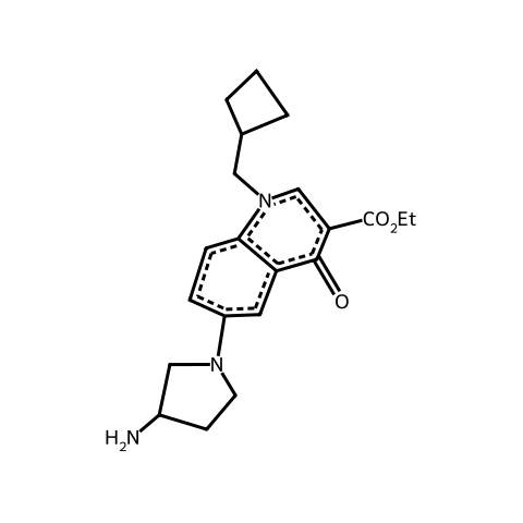 CCOC(=O)c1cn(CC2CCC2)c2ccc(N3CCC(N)C3)cc2c1=O